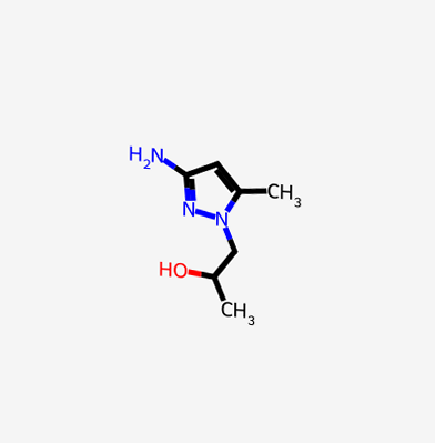 Cc1cc(N)nn1CC(C)O